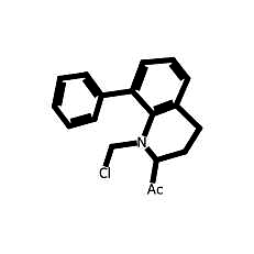 CC(=O)C1CCc2cccc(-c3ccccc3)c2N1CCl